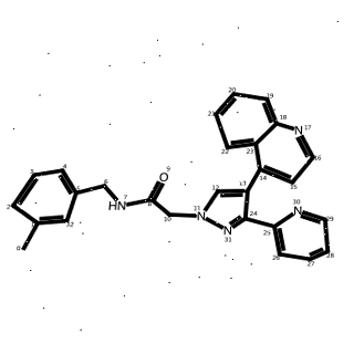 Cc1cccc(CNC(=O)Cn2cc(-c3ccnc4ccccc34)c(-c3ccccn3)n2)c1